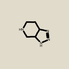 C1CC2N=NNC2CN1